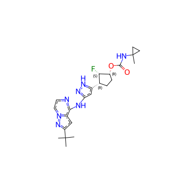 CC1(NC(=O)O[C@@H]2CC[C@H](c3cc(Nc4nccn5nc(C(C)(C)C)cc45)n[nH]3)[C@@H]2F)CC1